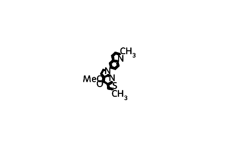 CO[C@@]12CCN(c3ccc4nc(C)ccc4c3)C1=Nc1sc(C)cc1C2=O